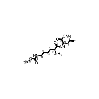 C=CC[C@H](NC(=O)[C@@H](N)CCCCNC(=O)OC(C)(C)C)C(=O)OC